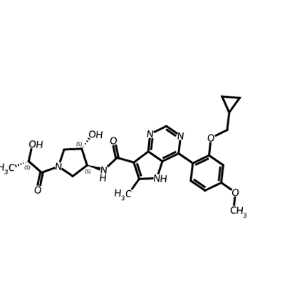 COc1ccc(-c2ncnc3c(C(=O)N[C@H]4CN(C(=O)[C@H](C)O)C[C@@H]4O)c(C)[nH]c23)c(OCC2CC2)c1